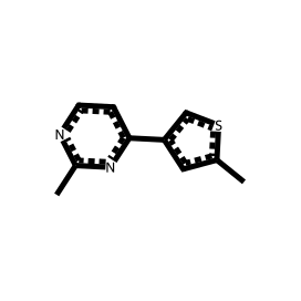 Cc1nccc(-c2csc(C)c2)n1